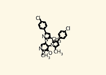 Cc1cc(-c2ccc(Cl)cc2)nn1-c1cnn(C)c(=O)c1-n1nc(-c2ccc(Cl)cc2)cc1C